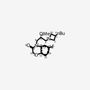 CCCCC1CN(C[C@H](CN2C(=O)COc3ccc(F)cc32)OC)C1